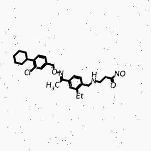 CCc1cc(/C(C)=N/OCc2ccc(C3CCCCC3)c(Cl)c2)ccc1CNCCC(=O)N=O